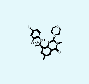 Cc1cc(C(C)Nc2ccc(F)cc2C(=O)O)c2nc(N3CCOCC3)n(C)c(=O)c2c1